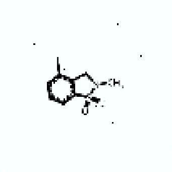 CN1Cc2c(I)cccc2S1(=O)=O